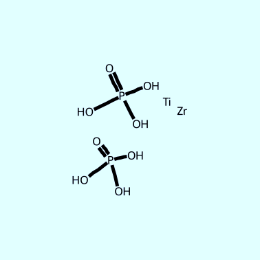 O=P(O)(O)O.O=P(O)(O)O.[Ti].[Zr]